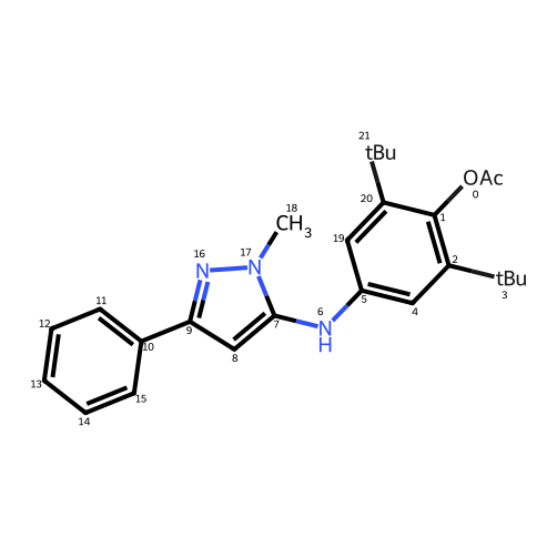 CC(=O)Oc1c(C(C)(C)C)cc(Nc2cc(-c3ccccc3)nn2C)cc1C(C)(C)C